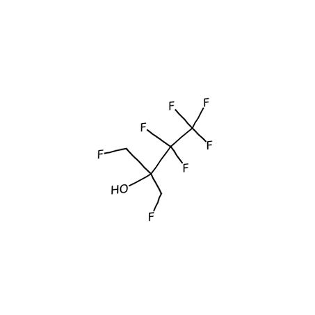 OC(CF)(CF)C(F)(F)C(F)(F)F